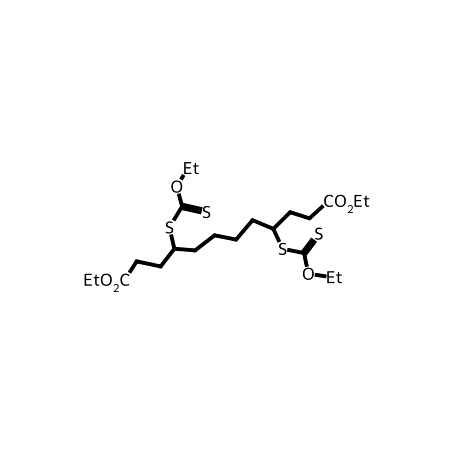 CCOC(=O)CCC(CCCCC(CCC(=O)OCC)SC(=S)OCC)SC(=S)OCC